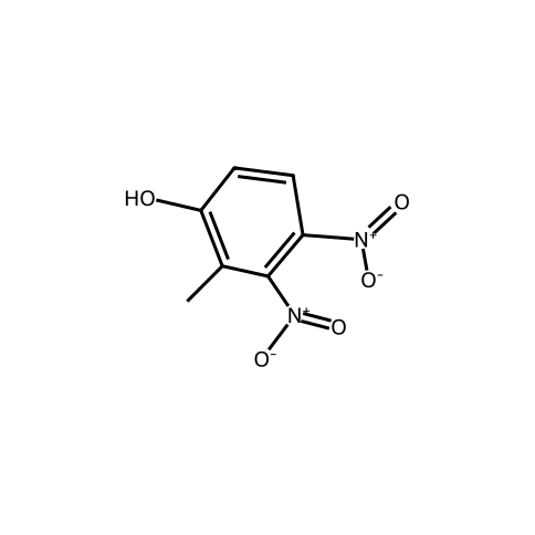 Cc1c(O)ccc([N+](=O)[O-])c1[N+](=O)[O-]